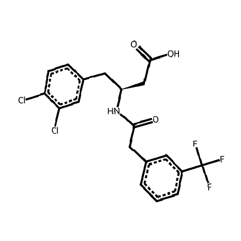 O=C(O)C[C@H](Cc1ccc(Cl)c(Cl)c1)NC(=O)Cc1cccc(C(F)(F)F)c1